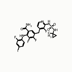 CC1(NS(=O)(=O)Nc2nccc(Cc3cc(C(N)=O)c(Nc4ccc(I)cc4F)c(F)c3F)c2F)CC1